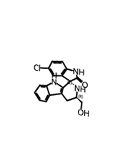 O=C1Nc2ccc(Cl)cc2[C@@]12N[C@@H](CO)Cc1c2[nH]c2ccccc12